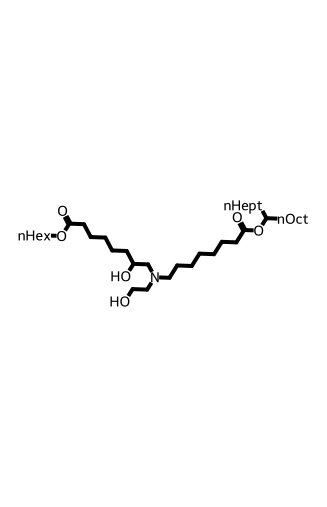 CCCCCCCCC(CCCCCCC)OC(=O)CCCCCCCN(CCO)CC(O)CCCCCC(=O)OCCCCCC